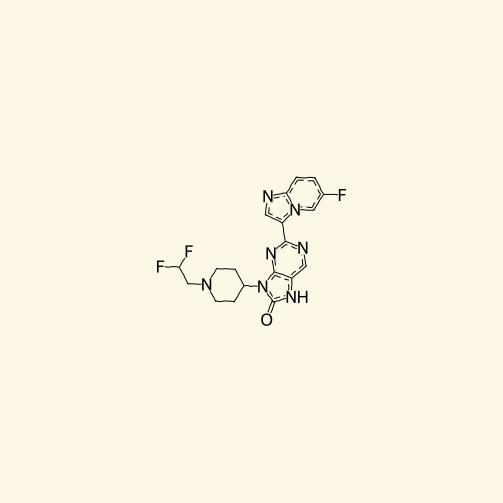 O=c1[nH]c2cnc(-c3cnc4ccc(F)cn34)nc2n1C1CCN(CC(F)F)CC1